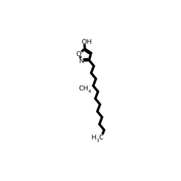 C.CCCCCCCCCCCCc1cc(O)on1